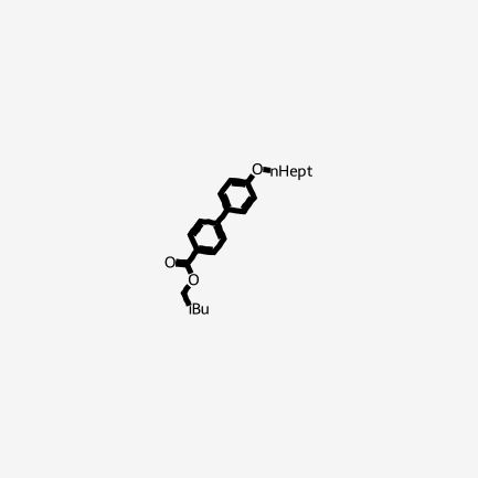 CCCCCCCOc1ccc(-c2ccc(C(=O)OCC(C)CC)cc2)cc1